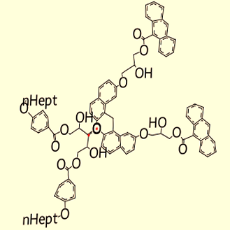 CCCCCCCOc1ccc(C(=O)OCC(O)COc2ccc3ccc(OCC(O)COC(=O)c4c5ccccc5cc5ccccc45)cc3c2Cc2c(OCC(O)COC(=O)c3ccc(OCCCCCCC)cc3)ccc3ccc(OCC(O)COC(=O)c4c5ccccc5cc5ccccc45)cc23)cc1